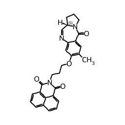 Cc1cc2c(cc1OCCCN1C(=O)c3cccc4cccc(c34)C1=O)N=C[C@@H]1CCCN1C2=O